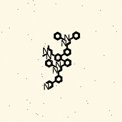 Cc1cc(-c2ccc(-c3ccccc3-c3cc(-c4cccc(-c5ccncc5)c4)nc(-c4ccccc4)n3)c(-c3cccc(-c4cc(-c5ccccc5)nc(-c5ccccc5)n4)c3)c2)nc(C)n1